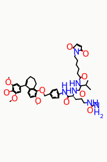 COc1cc(C2=CCCCc3c2ccc(OC)c3OCc2ccc(NC(=O)[C@H](CCCNC(N)=O)NC(=O)[C@@H](NC(=O)CCCCCN3C(=O)C=CC3=O)C(C)C)cc2)cc(OC)c1OC